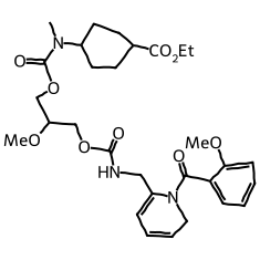 CCOC(=O)C1CCC(N(C)C(=O)OCC(COC(=O)NCC2=CC=CCN2C(=O)c2ccccc2OC)OC)CC1